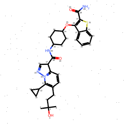 CC(C)(O)CCc1ccc2[n+](c1C1CC1)N=CC2C(=O)NC1CCC(Oc2c(C(N)=O)sc3ccccc23)CC1